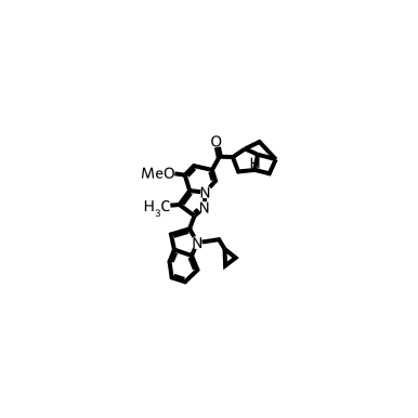 COc1cc(C(=O)C2CC3CC4CC2[C@@H]34)cn2nc(-c3cc4ccccc4n3CC3CC3)c(C)c12